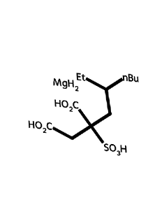 CCCCC(CC)CC(CC(=O)O)(C(=O)O)S(=O)(=O)O.[MgH2]